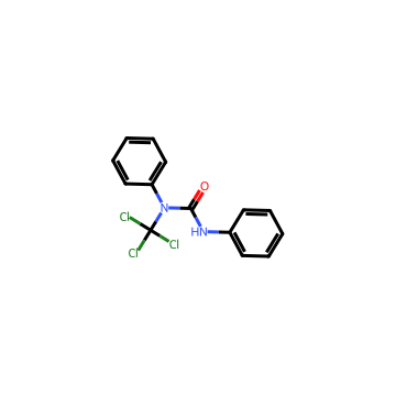 O=C(Nc1ccccc1)N(c1ccccc1)C(Cl)(Cl)Cl